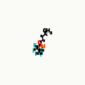 C=CCCOPC(F)(F)C(F)(F)F